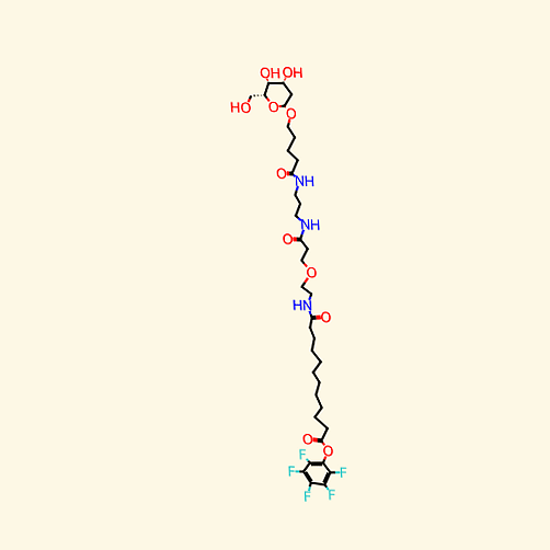 O=C(CCCCO[C@H]1C[C@@H](O)[C@@H](O)[C@@H](CO)O1)NCCCNC(=O)CCOCCNC(=O)CCCCCCCCCCC(=O)Oc1c(F)c(F)c(F)c(F)c1F